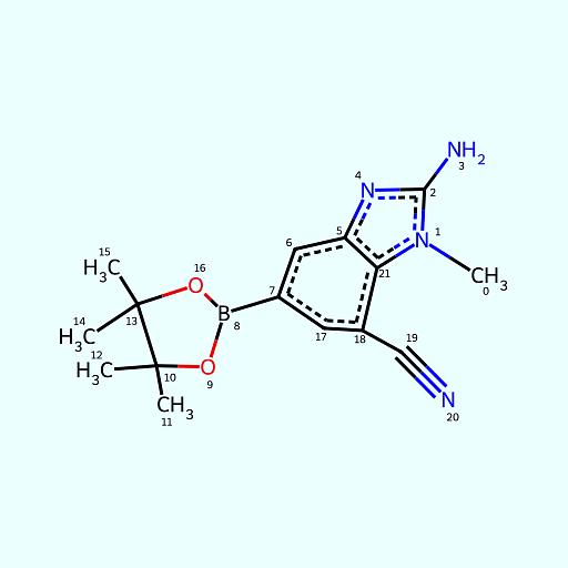 Cn1c(N)nc2cc(B3OC(C)(C)C(C)(C)O3)cc(C#N)c21